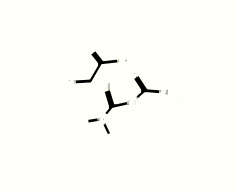 CN(C)C(=N)NC(=N)N.NCC(=O)O